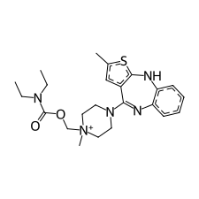 CCN(CC)C(=O)OC[N+]1(C)CCN(C2=Nc3ccccc3Nc3sc(C)cc32)CC1